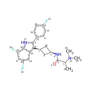 CC(C(=O)N[C@H]1C[C@@H](c2c(-c3ccc(F)cc3)[nH]c3c(F)cc(F)cc32)C1)N(C)C